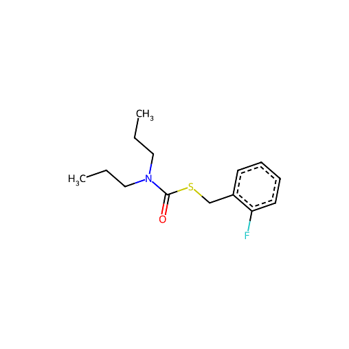 CCCN(CCC)C(=O)SCc1ccccc1F